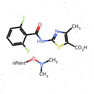 CCCCCON(C)C.Cc1nc(NC(=O)c2c(F)cccc2F)sc1C(=O)O